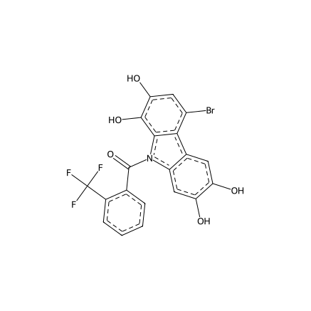 O=C(c1ccccc1C(F)(F)F)n1c2cc(O)c(O)cc2c2c(Br)cc(O)c(O)c21